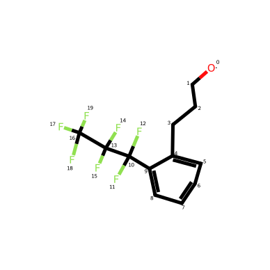 [O]CCCc1ccccc1C(F)(F)C(F)(F)C(F)(F)F